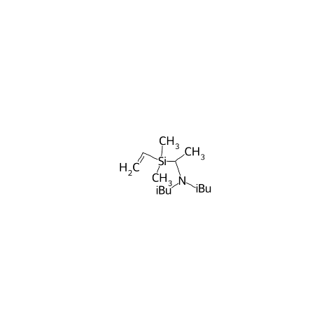 C=C[Si](C)(C)C(C)N(C(C)CC)C(C)CC